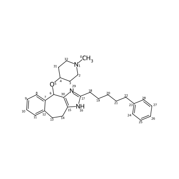 CN1CCC(OC2c3ccccc3CCc3[nH]c(CCCCCc4ccccc4)nc32)CC1